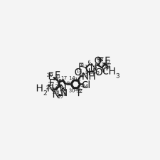 C[C@@](O)(C(=O)N1C[C@H](F)[C@H](NC(=O)c2cc(-c3cc(C(F)(F)F)c4c(N)ncnn34)cc(F)c2Cl)C1)C(F)(F)F